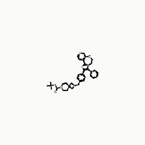 CC(C)(C)OC(=O)N1CCC2(CC1)CN(Cc1ccc(-c3nc4n(c3-c3ccccc3)CCOc3cnccc3-4)cc1)C2